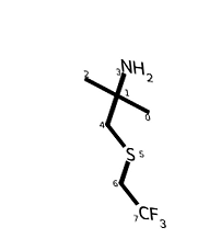 CC(C)(N)CSCC(F)(F)F